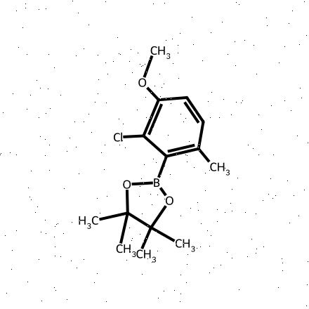 COc1ccc(C)c(B2OC(C)(C)C(C)(C)O2)c1Cl